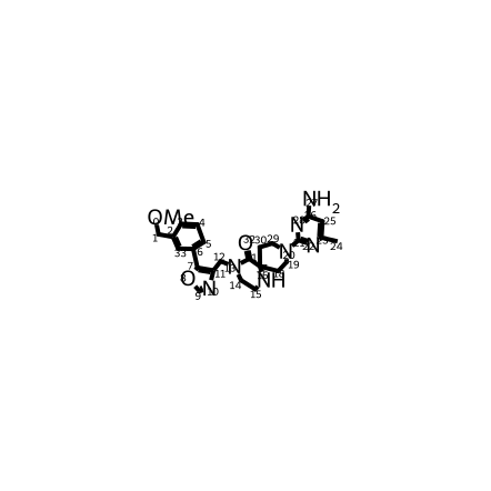 COCc1cccc(-c2ocnc2CN2CCNC3(CCN(c4nc(C)cc(N)n4)CC3)C2=O)c1